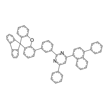 c1ccc(-c2cc(-c3ccc(-c4ccccc4)c4ccccc34)nc(-c3cccc(-c4cccc5c4Oc4ccccc4C54c5ccccc5-c5ccccc54)c3)n2)cc1